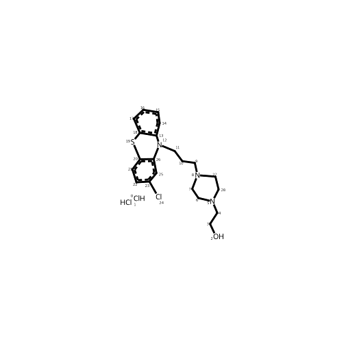 Cl.Cl.OCCN1CCN(CCCN2c3ccccc3Sc3ccc(Cl)cc32)CC1